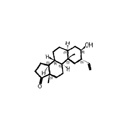 C=C[C@@H]1C[C@@]2(C)[C@@H](CC[C@@H]3[C@@H]2CC[C@]2(C)C(=O)CC[C@@H]32)C[C@H]1O